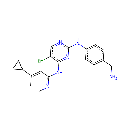 C/N=C(\C=C(/C)C1CC1)Nc1nc(Nc2ccc(CN)cc2)ncc1Br